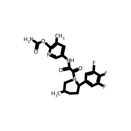 Cc1cc(NC(=O)C(=O)N2CC(C)CCC2c2cc(F)c(F)c(F)c2)cnc1OC(N)=O